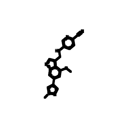 COc1cc(-c2cnn(C)c2)cn2ncc(CNc3ccc(C#N)nc3)c12